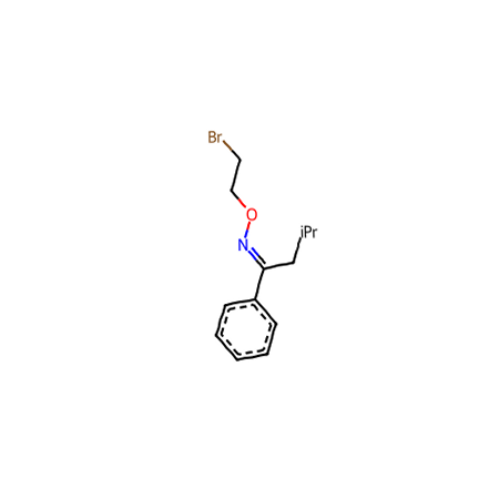 CC(C)CC(=NOCCBr)c1ccccc1